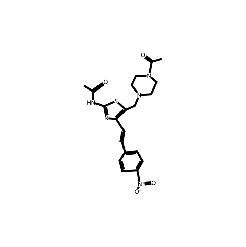 CC(=O)Nc1nc(C=Cc2ccc([N+](=O)[O-])cc2)c(CN2CCN(C(C)=O)CC2)s1